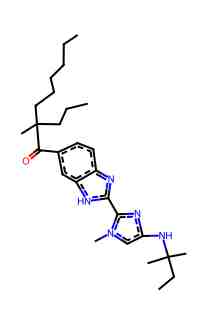 CCCCCCC(C)(CCC)C(=O)c1ccc2nc(-c3nc(NC(C)(C)CC)cn3C)[nH]c2c1